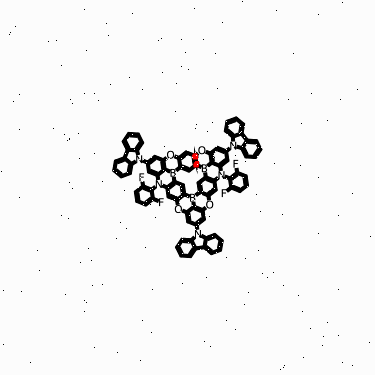 Fc1cccc(F)c1N1c2cc3c(cc2B2c4ccccc4Oc4cc(-n5c6ccccc6c6ccccc65)cc1c42)B1c2cc4c(cc2Oc2cc(-n5c6ccccc6c6ccccc65)cc(c21)O3)N(c1c(F)cccc1F)c1cc(-n2c3ccccc3c3ccccc32)cc2c1B4c1ccccc1O2